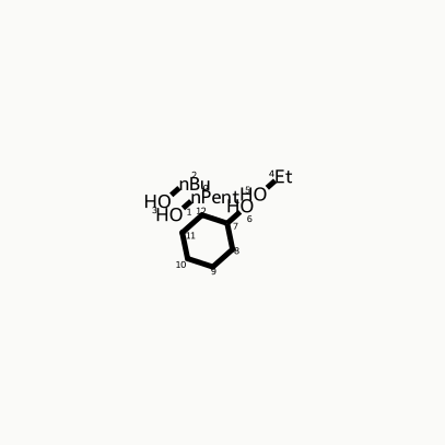 CCCCCO.CCCCO.CCO.OC1CCCCC1